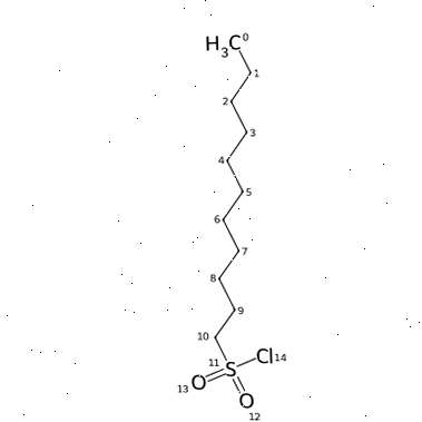 CCCCCCCCCCCS(=O)(=O)Cl